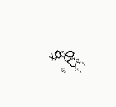 CN[C@@H](C)CC(=N)CC(c1cccc(OC(F)(F)F)c1)C1(O)CCCCC1.Cl.Cl